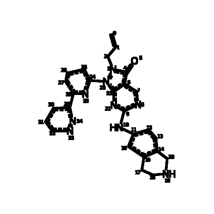 C=CCn1c(=O)c2cnc(Nc3ccc4c(c3)CCNC4)nc2n1-c1cccc(-c2cccnn2)n1